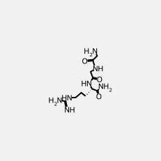 N=C(N)NCCC[C@H](NC(=O)CNC(=O)CN)C(N)=O